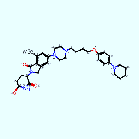 COc1cc(N2CCN(CCCCOc3ccc(N4CCCCC4)cc3)CC2)cc2c1C(=O)N(C1CCC(=O)NC1=O)C2